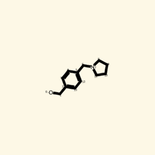 [O]Cc1ccc(CN2CCCC2)cc1